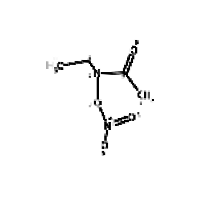 CCN(O[N+](=O)[O-])C(C)=O